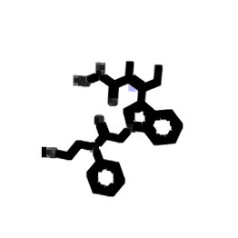 CC/C(=C(\C)C(=O)NO)c1cn(CC(=O)N(CCO)c2ccccc2)c2ccccc12